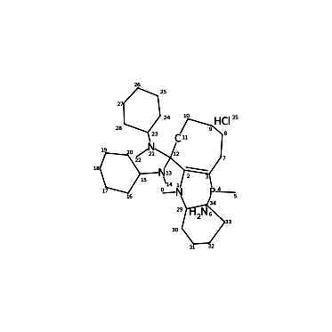 CN(/C1=C(\P(C)N)CCCCCC1(N(C)C1CCCCC1)N(C)C1CCCCC1)C1CCCCC1.Cl